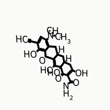 C#Cc1cc(N(C)C)c2c(c1O)C(=O)C1=C(O)[C@]3(O)C(=O)C(C(N)=O)=C(O)C[C@@H]3C[C@@H]1C2